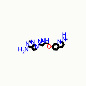 CNc1ccc2ccc(OCc3cc(-n4ccc5c(N)ncnc54)n[nH]3)cc2n1